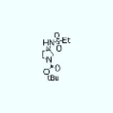 CCS(=O)(=O)N[C@H]1CCN(C(=O)OC(C)(C)C)C1